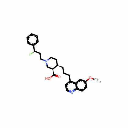 COc1ccc2nccc(CCC[C@@H]3CCN(CC[C@@H](F)c4ccccc4)C[C@@H]3C(=O)O)c2c1